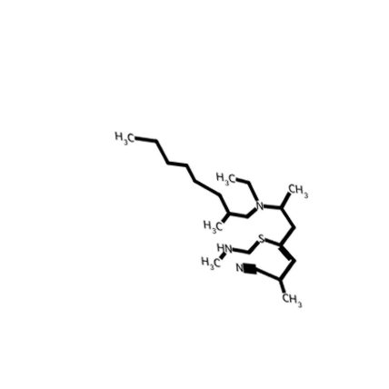 CCCCCCC(C)CN(CC)C(C)C/C(=C/C(C)C#N)SCNC